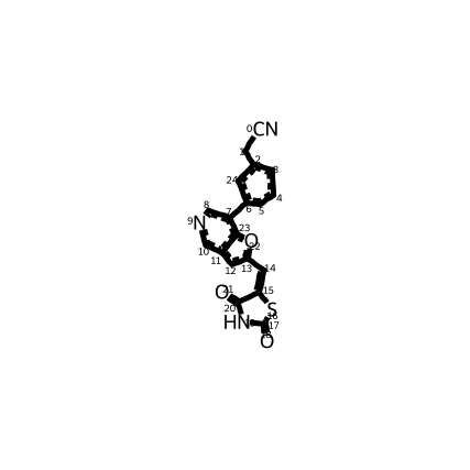 N#CCc1cccc(-c2cncc3cc(C=C4SC(=O)NC4=O)oc23)c1